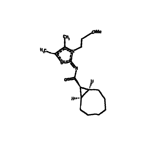 COCCn1c(C)c(C)sc1=NC(=O)[C@@H]1[C@@H]2CCCCCC[C@@H]21